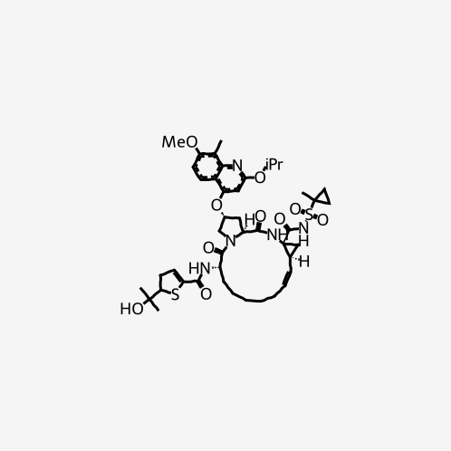 COc1ccc2c(O[C@@H]3C[C@H]4C(=O)N[C@]5(C(=O)NS(=O)(=O)C6(C)CC6)C[C@H]5/C=C\CCCCC[C@H](NC(=O)C5=CCC(C(C)(C)O)S5)C(=O)N4C3)cc(OC(C)C)nc2c1C